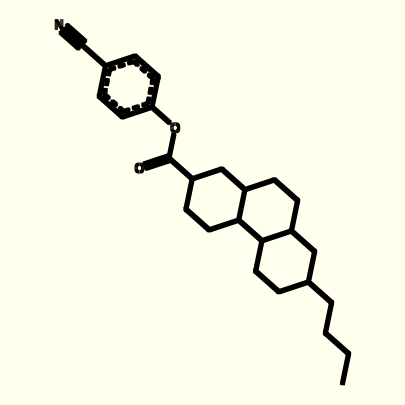 CCCCC1CCC2C(CCC3CC(C(=O)Oc4ccc(C#N)cc4)CCC32)C1